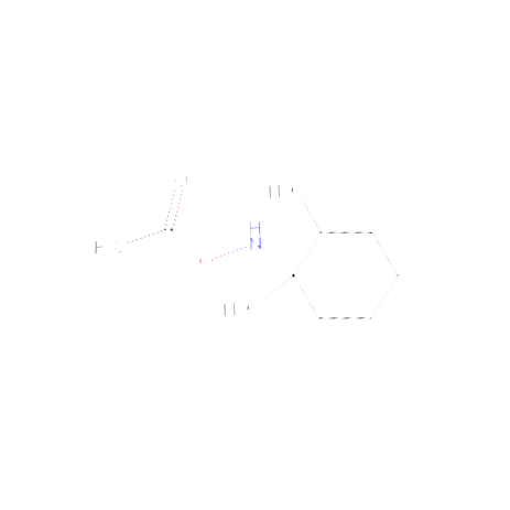 CC1CCCCC1(C)NOC(=O)C(F)(F)F